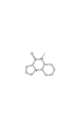 Cn1c(=O)c2cccn2c2ccccc21